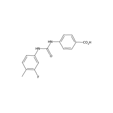 Cc1ccc(NC(=O)Nc2ccc(C(=O)O)cc2)cc1F